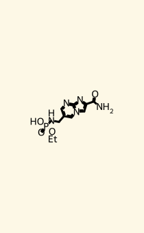 CCOP(=O)(O)NCc1cnc2nc(C(N)=O)cn2c1